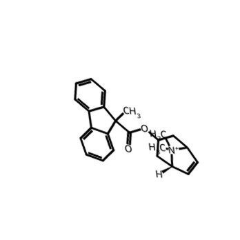 CC1(C(=O)OC2CC3C=C[C@H](C2)[N+]3(C)C)c2ccccc2-c2ccccc21